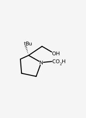 CC(C)(C)[C@@]1(CO)CCCN1C(=O)O